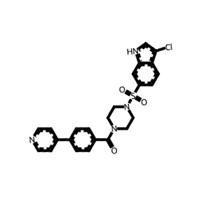 O=C(c1ccc(-c2ccncc2)cc1)N1CCN(S(=O)(=O)c2ccc3c(Cl)c[nH]c3c2)CC1